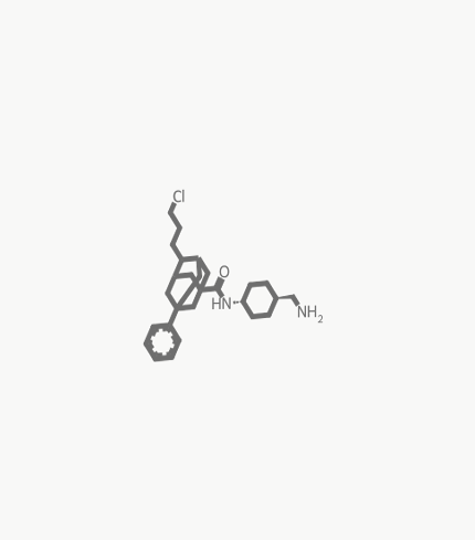 NC[C@H]1CC[C@H](NC(=O)C23CC4CC(c5ccccc5)(CC(C2)C4CCCCl)C3)CC1